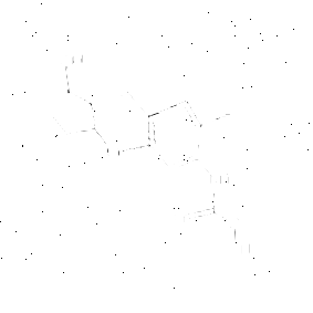 COC(=O)Nc1cc(OC2CCC(C)C2)c(Cl)cc1F